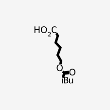 CCC(C)C(=O)OCCCCCC(=O)O